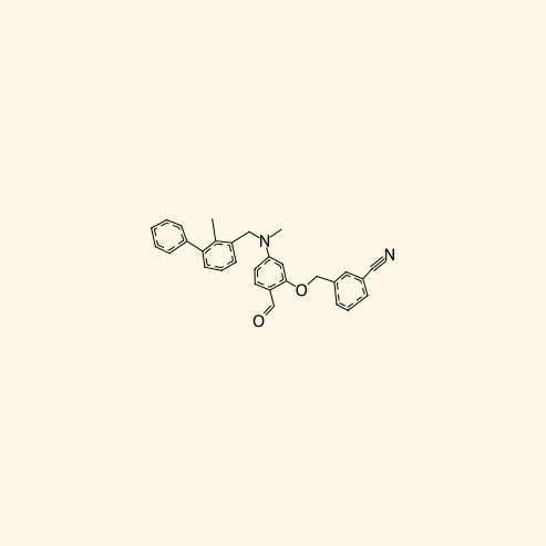 Cc1c(CN(C)c2ccc(C=O)c(OCc3cccc(C#N)c3)c2)cccc1-c1ccccc1